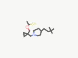 CC(S)OCC1(CN2CCC(CCC(C)(C)C)CC2)CC1